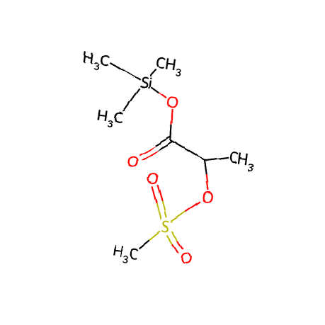 CC(OS(C)(=O)=O)C(=O)O[Si](C)(C)C